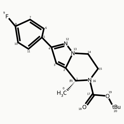 C[C@@H]1c2cc(-c3ccc(F)cc3)nn2CCN1C(=O)OC(C)(C)C